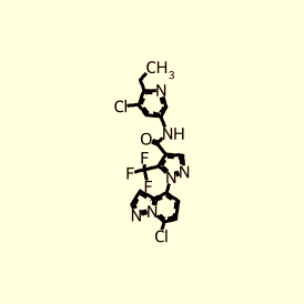 CCc1ncc(NC(=O)c2cnn(-c3ccc(Cl)n4nccc34)c2C(F)(F)F)cc1Cl